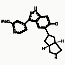 COc1cc(-c2n[nH]c3cc(Cl)c(C4C[C@H]5CNC[C@H]5C4)cc23)ccn1